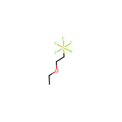 CCOCCS(F)(F)(F)(F)F